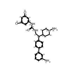 Nc1cccc(-c2ccc(C(CNC(=O)Nc3cc(Cl)cc(Cl)c3)C3CCN(N)CC3)cc2)c1